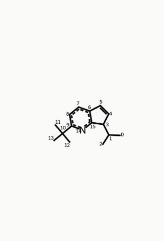 CC(C)C1C=Cc2ccc(C(C)(C)C)nc21